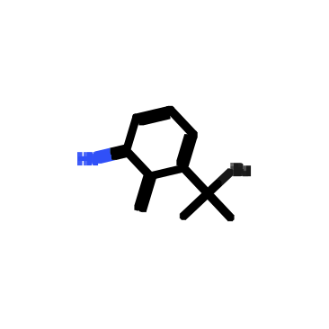 C=C1C(=N)C=CC=C1C(C)(C)C(C)CC